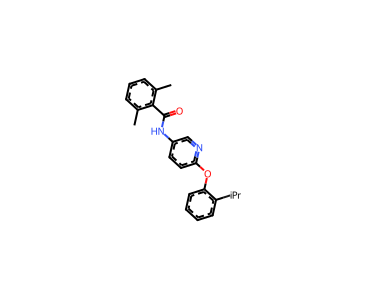 Cc1cccc(C)c1C(=O)Nc1ccc(Oc2ccccc2C(C)C)nc1